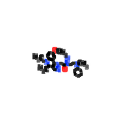 C=C1c2cnn(CC(=O)NCCN(C)C3CCCCC3)c2-c2cc(OC)ccc2N1CC